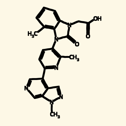 Cc1nc(-c2cncc3c2cnn3C)ccc1-n1c(=O)n(CC(=O)O)c2cccc(C)c21